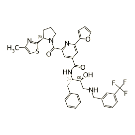 Cc1csc([C@H]2CCCN2C(=O)c2cc(C(=O)N[C@@H](Cc3ccccc3)[C@@H](O)CNCc3cccc(C(F)(F)F)c3)cc(-c3ccco3)n2)n1